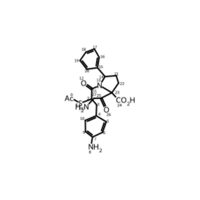 CC(=O)SC(Cc1ccc(N)cc1)C(=O)N1C(c2ccccc2)CCC1(C(=O)O)C(=O)CN